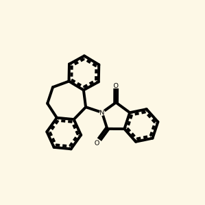 O=C1c2ccccc2C(=O)N1C1c2ccccc2CCc2ccccc21